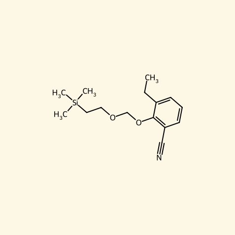 CCc1cccc(C#N)c1OCOCC[Si](C)(C)C